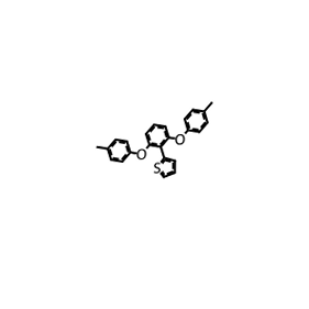 Cc1ccc(Oc2cccc(Oc3ccc(C)cc3)c2-c2cccs2)cc1